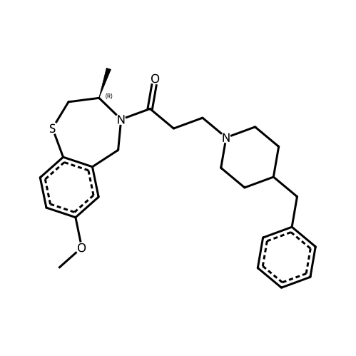 COc1ccc2c(c1)CN(C(=O)CCN1CCC(Cc3ccccc3)CC1)[C@H](C)CS2